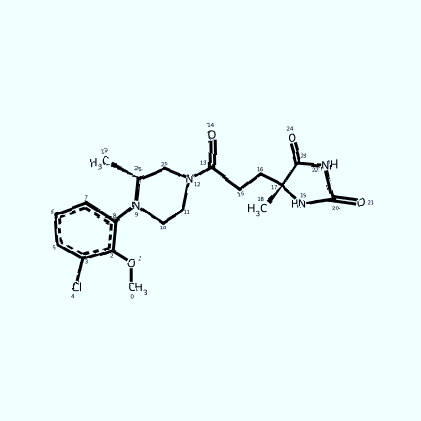 COc1c(Cl)cccc1N1CCN(C(=O)CC[C@@]2(C)NC(=O)NC2=O)C[C@@H]1C